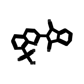 O=C1c2ccccc2C(=O)C1c1ccc2cccc(S(=O)(=O)O)c2n1